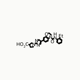 CCc1ccccc1NC(=O)N1CCOc2cc(-c3cnc(N4CCC(C(=O)O)C4)nc3)ccc21